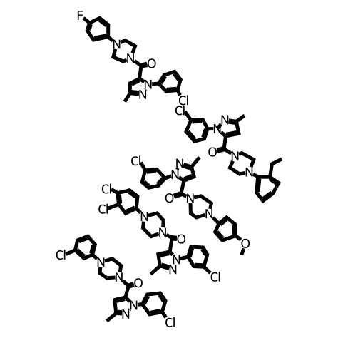 CCc1ccccc1N1CCN(C(=O)c2cc(C)nn2-c2cccc(Cl)c2)CC1.COc1ccc(N2CCN(C(=O)c3cc(C)nn3-c3cccc(Cl)c3)CC2)cc1.Cc1cc(C(=O)N2CCN(c3ccc(Cl)c(Cl)c3)CC2)n(-c2cccc(Cl)c2)n1.Cc1cc(C(=O)N2CCN(c3ccc(F)cc3)CC2)n(-c2cccc(Cl)c2)n1.Cc1cc(C(=O)N2CCN(c3cccc(Cl)c3)CC2)n(-c2cccc(Cl)c2)n1